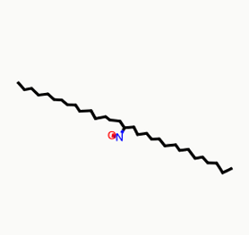 CCCCCCCCCCCCCCCC(CCCCCCCCCCCCCCC)N=O